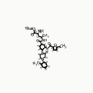 Cc1ccc(C(=O)Nc2cc(C(=O)N[C@H](C)CC(=N)C(=O)OC(C)(C)C)ccc2N2CCN(c3ccccc3C)CC2)o1